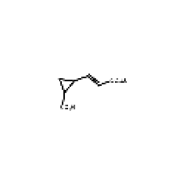 CCOC(=O)C=CC1CC1C(=O)O